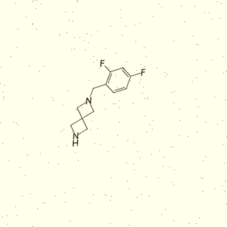 Fc1ccc(CN2CC3(CNC3)C2)c(F)c1